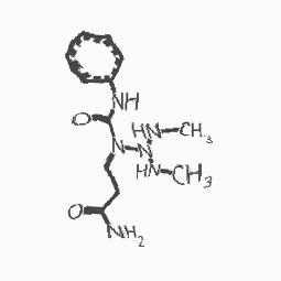 CNN(NC)N(CCC(N)=O)C(=O)Nc1ccccc1